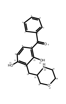 O=C(c1ccccc1)c1ccc(O)c(CC2COCCN2)c1O